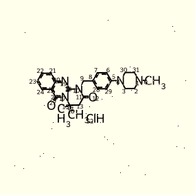 CN1CCN(c2ccc(CN3C(=O)CC(C)(C)n4c3nc3ccccc3c4=O)cc2)CC1.Cl